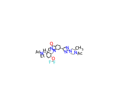 CCN(Cc1ccc(OC(F)F)c(Cn2c3cc(-c4cnc(N5CCN(C(C)=O)[C@H](C)C5)nc4)ccc3c(=O)n2C)c1)C(C)=O